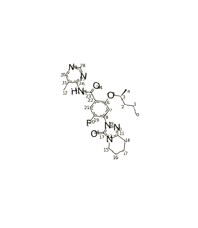 CCC[C@H](C)Oc1cc(-n2nc3n(c2=O)CCCC3)c(F)cc1C(=O)Nc1ncncc1C